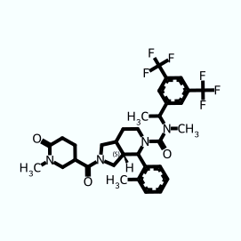 Cc1ccccc1C1[C@@H]2CN(C(=O)C3CCC(=O)N(C)C3)CC2CCN1C(=O)N(C)C(C)c1cc(C(F)(F)F)cc(C(F)(F)F)c1